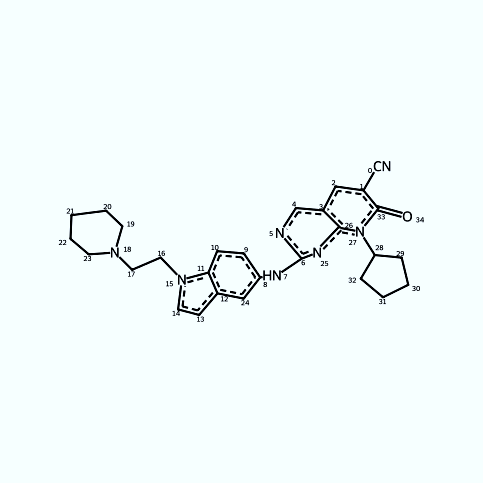 N#Cc1cc2cnc(Nc3ccc4c(ccn4CCN4CCCCC4)c3)nc2n(C2CCCC2)c1=O